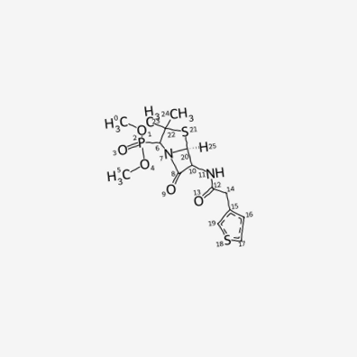 COP(=O)(OC)C1N2C(=O)C(NC(=O)Cc3ccsc3)[C@@H]2SC1(C)C